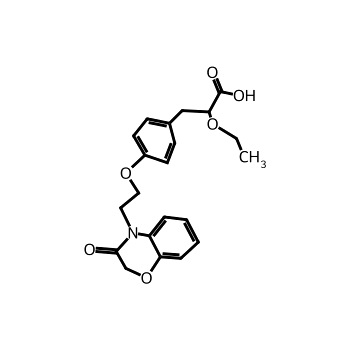 CCOC(Cc1ccc(OCCN2C(=O)COc3ccccc32)cc1)C(=O)O